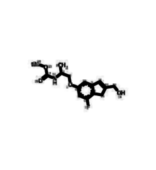 CC(COc1cc(F)c2c(c1)C=C(CO)C2)NC(=O)OC(C)(C)C